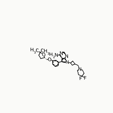 CC1(C)CC[C@@H](COc2cccc(-c3cn(C4CC(CN5CCC(F)(F)CC5)C4)c4ncnc(N)c34)c2)O1